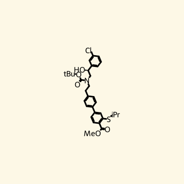 COC(=O)c1ccc(-c2ccc(CCN(C[C@@H](O)c3cccc(Cl)c3)C(=O)OC(C)(C)C)cc2)cc1SC(C)C